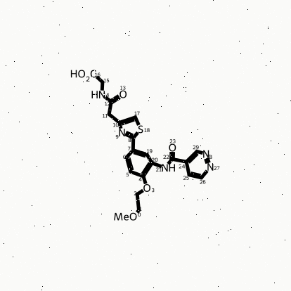 COCCOc1ccc(-c2nc(CC(=O)NCC(=O)O)cs2)cc1NC(=O)c1ccnnc1